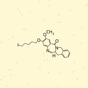 COc1cc2c(cc1OCCCCCI)N=C[C@@H]1Cc3ccccc3CN1C2=O